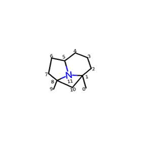 CC12CCCC3CCC(C)(C1)N32